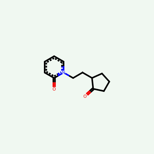 O=C1CCCC1[CH]Cn1ccccc1=O